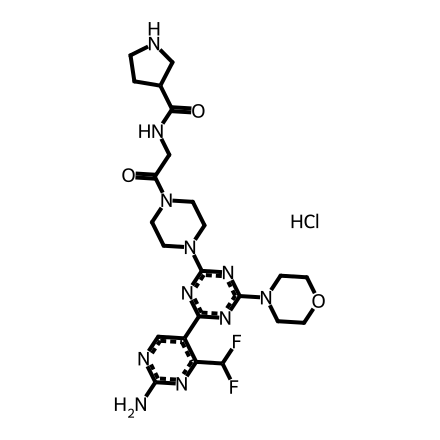 Cl.Nc1ncc(-c2nc(N3CCOCC3)nc(N3CCN(C(=O)CNC(=O)C4CCNC4)CC3)n2)c(C(F)F)n1